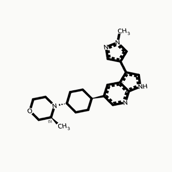 C[C@H]1COCCN1[C@H]1CC[C@H](c2cnc3[nH]cc(-c4cnn(C)c4)c3c2)CC1